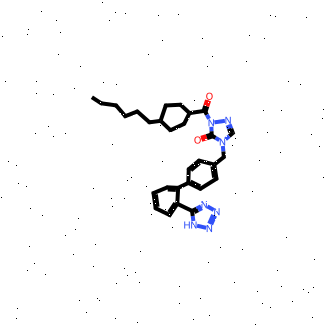 CCCCCCC1CCC(C(=O)n2ncn(Cc3ccc(-c4ccccc4-c4nnn[nH]4)cc3)c2=O)CC1